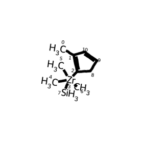 CC1=[C]([Zr]([CH3])([CH3])([CH3])[SiH3])CC=C1